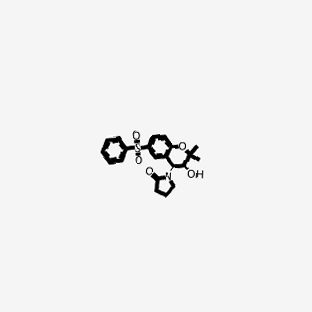 CC1(C)Oc2ccc(S(=O)(=O)c3ccccc3)cc2[C@@H](N2CCCC2=O)[C@@H]1O